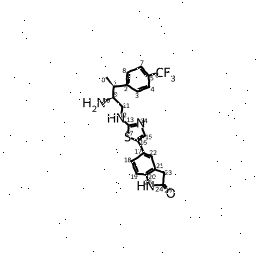 C[C@@H](c1ccc(C(F)(F)F)cc1)[C@H](N)CNc1ncc(-c2ccc3c(c2)CC(=O)N3)s1